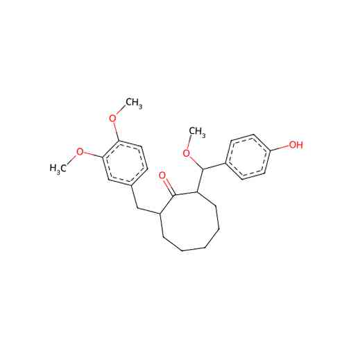 COc1ccc(CC2CCCCCC(C(OC)c3ccc(O)cc3)C2=O)cc1OC